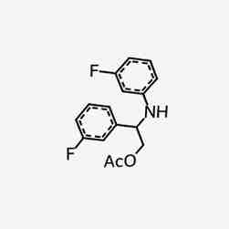 CC(=O)OCC(Nc1cccc(F)c1)c1cccc(F)c1